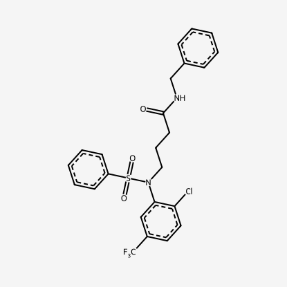 O=C(CCCN(c1cc(C(F)(F)F)ccc1Cl)S(=O)(=O)c1ccccc1)NCc1ccccc1